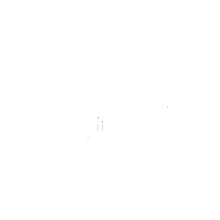 CC1(C)CC(CCNCc2ccccc2F)(c2ccccc2)CCO1